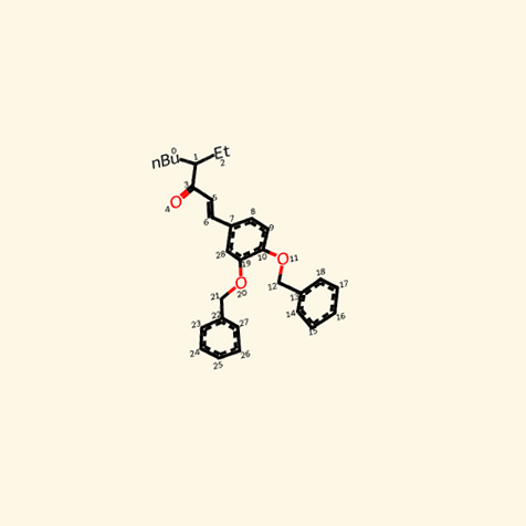 CCCCC(CC)C(=O)/C=C/c1ccc(OCc2ccccc2)c(OCc2ccccc2)c1